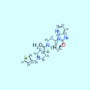 C=C(N1CCC(n2c(OC)nc3cccnc32)CC1)C1(F)CCN(Cc2ccsc2)CC1